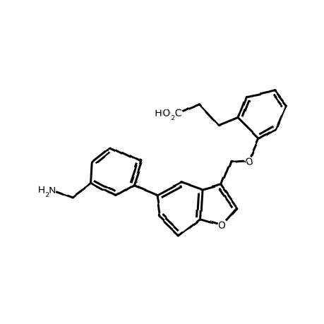 NCc1cccc(-c2ccc3occ(COc4ccccc4CCC(=O)O)c3c2)c1